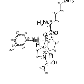 COC(=O)N1CC[C@@H]2[C@H]1CCC[C@]2(C#Cc1cccc(C)c1)OC(=O)[C@@H](N)CCCCN